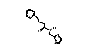 O=C(CCCc1ccccc1)N(O)Cc1nccs1